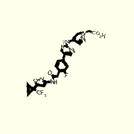 O=C(O)Cn1cc(Nc2ncc(-c3ccc(CC(=O)Nc4cc(C5(C(F)(F)F)CC5)on4)c(F)c3)cn2)cn1